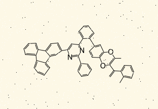 C=C(C1=C(C)Oc2cc(-c3ccccc3-c3cc(-c4ccc5c6ccccc6c6ccccc6c5c4)nc(-c4ccccc4)n3)ccc2O1)c1ccccc1C